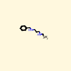 [SiH3]CNCCCNCc1ccccc1